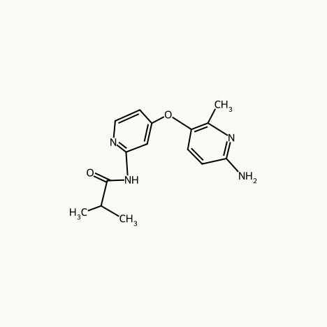 Cc1nc(N)ccc1Oc1ccnc(NC(=O)C(C)C)c1